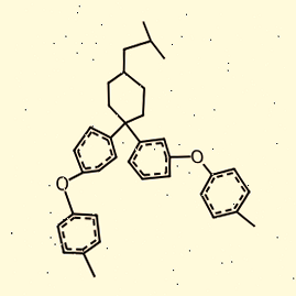 Cc1ccc(Oc2ccc(C3(c4cccc(Oc5ccc(C)cc5)c4)CCC(CC(C)C)CC3)cc2)cc1